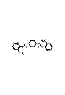 Cc1ccnnc1NC[C@H]1CC[C@H](CNc2nnccc2C)CC1